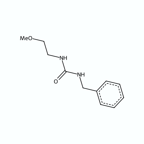 COCCNC(=O)NCc1ccccc1